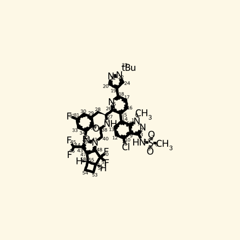 Cn1nc(NS(C)(=O)=O)c2c(Cl)ccc(-c3ccc(-c4cnn(C(C)(C)C)c4)nc3[C@H](Cc3cc(F)cc(F)c3)NC(=O)Cn3nc(C(F)F)c4c3C(F)(F)[C@@H]3CC[C@H]43)c21